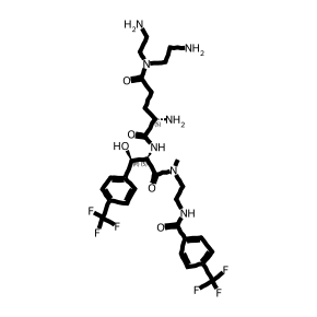 CN(CCNC(=O)c1ccc(C(F)(F)F)cc1)C(=O)[C@@H](NC(=O)[C@@H](N)CCC(=O)N(CCN)CCN)[C@H](O)c1ccc(C(F)(F)F)cc1